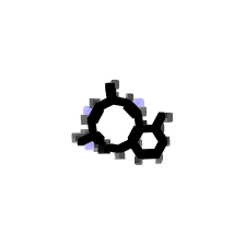 C=C1/C=C\C2=C(C=CCC2C)C/N=C(C)\C=C/1